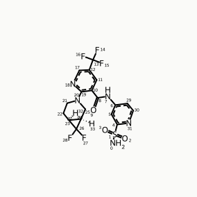 NS(=O)(=O)c1cc(NC(=O)c2cc(C(F)(F)F)cnc2N2CC[C@H]3[C@@H](C2)C3(F)F)ccn1